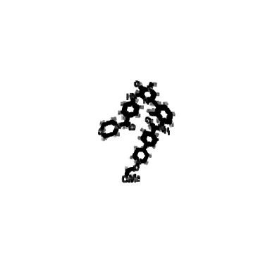 COCON1CCC(c2ccc(C(=O)Nc3cccc(-c4cn(C)c(=O)c(Nc5ccc(C(=O)N6CCOCC6)cc5)n4)c3C)cc2)CC1